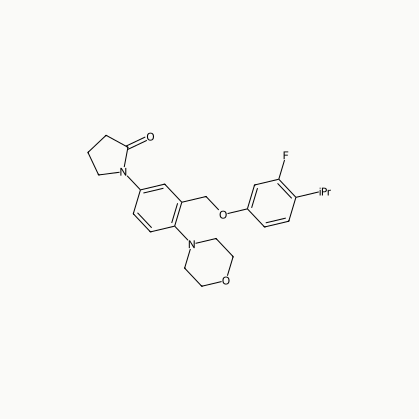 CC(C)c1ccc(OCc2cc(N3CCCC3=O)ccc2N2CCOCC2)cc1F